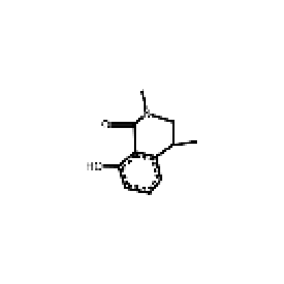 CC1CN(C)C(=O)c2c(O)cccc21